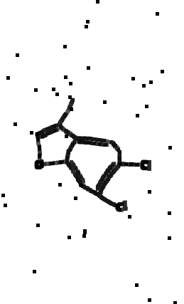 Cc1coc2cc(Cl)c(Cl)cc12